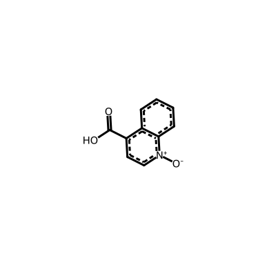 O=C(O)c1cc[n+]([O-])c2ccccc12